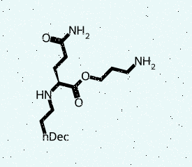 CCCCCCCCCCCCN[C@@H](CCC(N)=O)C(=O)OCCCN